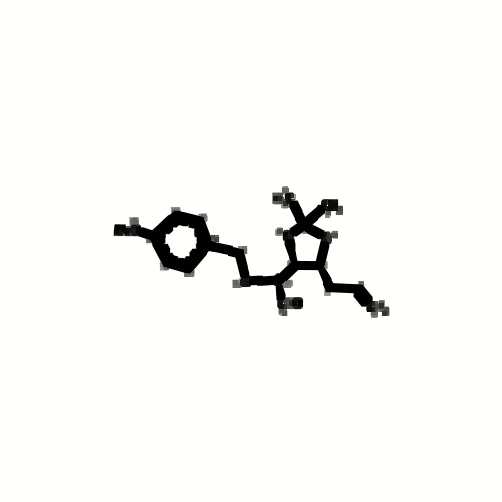 C=CC[C@@H]1OC(C)(C)O[C@@H]1[C@@H](C=O)OCc1ccc(OC)cc1